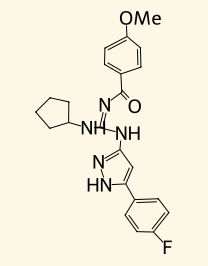 COc1ccc(C(=O)/N=C(\Nc2cc(-c3ccc(F)cc3)[nH]n2)NC2CCCC2)cc1